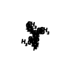 CNC(=O)c1c(-c2ccc(F)cc2)oc2cc(NCS(C)(=O)=O)c(OCc3ccc(OC)cc3)cc12